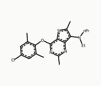 CCCN(CC)c1c(C)sc2c(Oc3c(C)cc(Cl)cc3C)nc(C)nc12